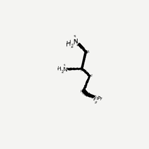 CCCCCC(N)CN